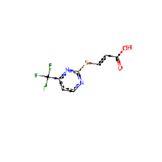 O=C(O)/C=C/Sc1nccc(C(F)(F)F)n1